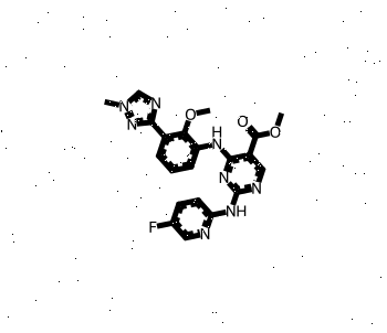 COC(=O)c1cnc(Nc2ccc(F)cn2)nc1Nc1cccc(-c2ncn(C)n2)c1OC